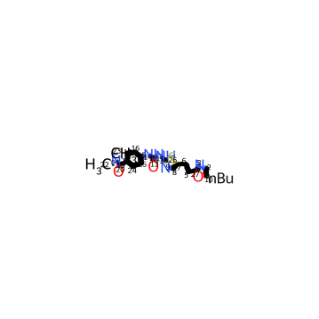 CCCCc1cnc(C=Cc2cnc(NC(=O)Nc3ccc(C(=O)N(C)C)cc3)s2)o1